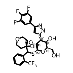 OC[C@H]1O[C@@H](SC(c2ccccc2C(F)(F)F)C2(O)CCOCC2)[C@H](O)[C@@H](n2cc(-c3cc(F)c(F)c(F)c3)nn2)[C@H]1O